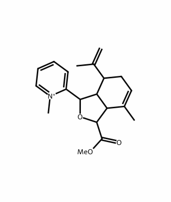 C=C(C)C1CC=C(C)C2C(C(=O)OC)OC(c3cccc[n+]3C)C12